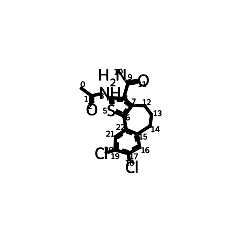 CC(=O)Nc1sc2c(c1C(N)=O)CCCc1cc(Cl)c(Cl)cc1-2